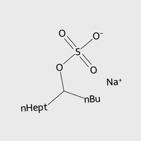 CCCCCCCC(CCCC)OS(=O)(=O)[O-].[Na+]